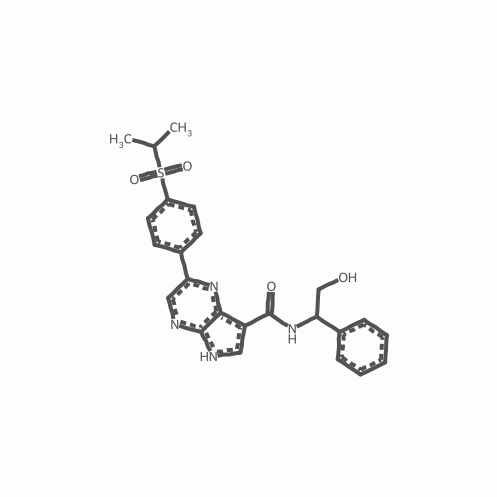 CC(C)S(=O)(=O)c1ccc(-c2cnc3[nH]cc(C(=O)NC(CO)c4ccccc4)c3n2)cc1